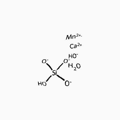 O.[Ca+2].[Mn+2].[O-][Si]([O-])([O-])O.[OH-]